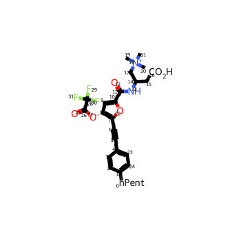 CCCCCc1ccc(C#Cc2ccc(C(=O)NC(CC(=O)O)C[N+](C)(C)C)o2)cc1.O=C([O-])C(F)(F)F